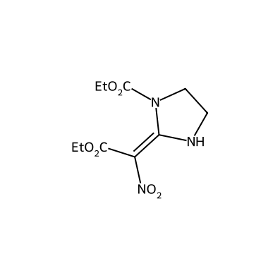 CCOC(=O)C(=C1NCCN1C(=O)OCC)[N+](=O)[O-]